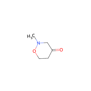 CN1CC(=O)CCO1